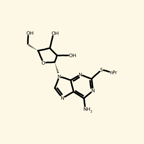 CCCSc1nc(N)c2ncn([C@@H]3O[C@H](CO)C(O)C3O)c2n1